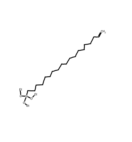 C=CCCCCCCCCCCCCCCCCC[Si](OCC)(OCC)OCC